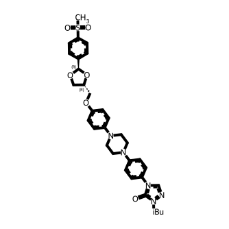 CCC(C)n1ncn(-c2ccc(N3CCN(c4ccc(OC[C@@H]5CO[C@@H](c6ccc(S(C)(=O)=O)cc6)O5)cc4)CC3)cc2)c1=O